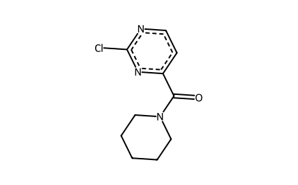 O=C(c1ccnc(Cl)n1)N1CCCCC1